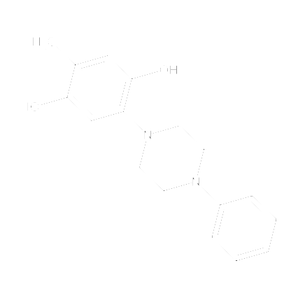 Cc1cc(O)c(N2CCN(c3ccccc3)CC2)cc1O